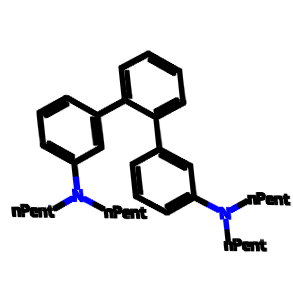 CCCCCN(CCCCC)c1cccc(-c2ccccc2-c2cccc(N(CCCCC)CCCCC)c2)c1